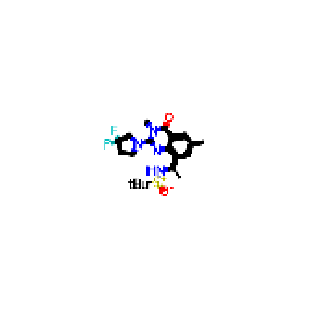 Cc1cc([C@@H](C)N[S@+]([O-])C(C)(C)C)c2nc(N3CCC(F)(F)C3)n(C)c(=O)c2c1